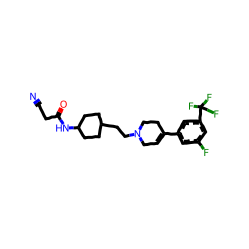 N#CCC(=O)NC1CCC(CCN2CC=C(c3cc(F)cc(C(F)(F)F)c3)CC2)CC1